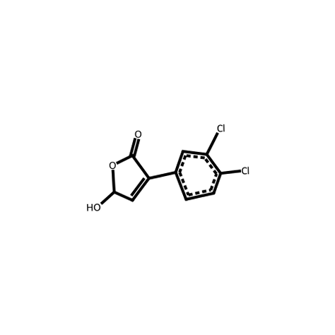 O=C1OC(O)C=C1c1ccc(Cl)c(Cl)c1